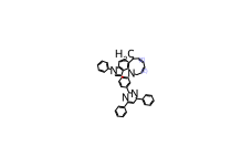 C=C1/C=C\C=C/CN(c2cccc(-c3nc(-c4ccccc4)cc(-c4ccccc4)n3)c2)c2c1ccc1c2ccn1-c1ccccc1